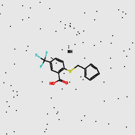 O=C(O)c1cc(C(F)(F)F)ccc1SCc1ccccc1.[KH]